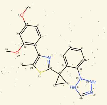 COc1ccc(-c2nc(C3(c4ccccc4N4NC=NN4)CC3)sc2C)c(OC)c1